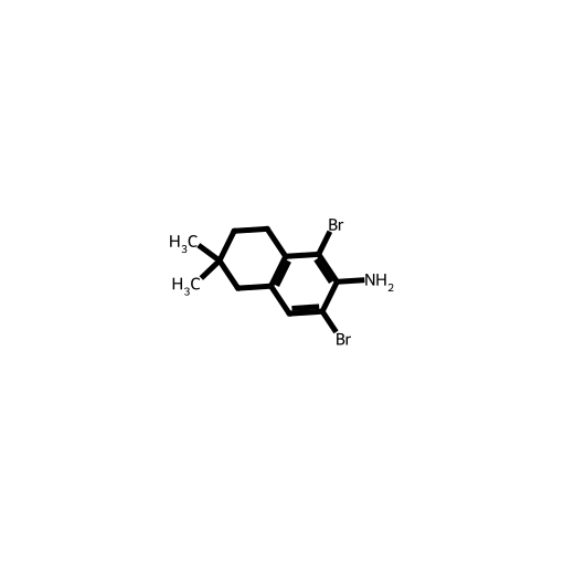 CC1(C)CCc2c(cc(Br)c(N)c2Br)C1